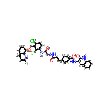 CNC(=O)[C@@H](Cc1ccccc1)NC(=O)c1ccc(C=CC(=O)NCC(=O)N(C)c2ccc(Cl)c(COc3cccc4ccc(C)nc34)c2Cl)cc1